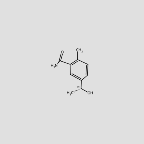 Cc1ccc([C@@H](C)O)cc1C(N)=O